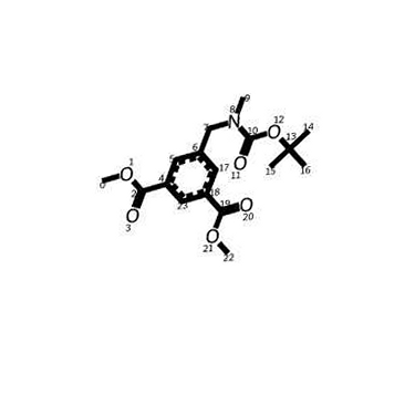 COC(=O)c1cc(CN(C)C(=O)OC(C)(C)C)cc(C(=O)OC)c1